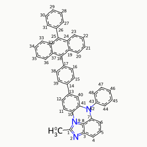 Cc1nc2cccc3c2n1-c1ccc(-c2ccc(-c4c5ccccc5c(-c5ccccc5)c5ccccc45)cc2)cc1N3c1ccccc1